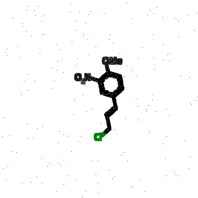 COc1ccc(/C=C/CCl)cc1[N+](=O)[O-]